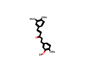 CCOc1cc(CCC(=O)C=Cc2ccc(OC)c(OC)c2)ccc1OC